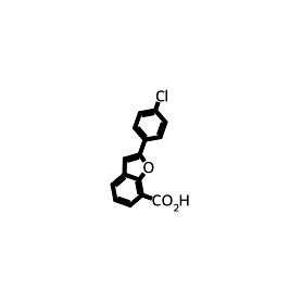 O=C(O)c1cccc2cc(-c3ccc(Cl)cc3)oc12